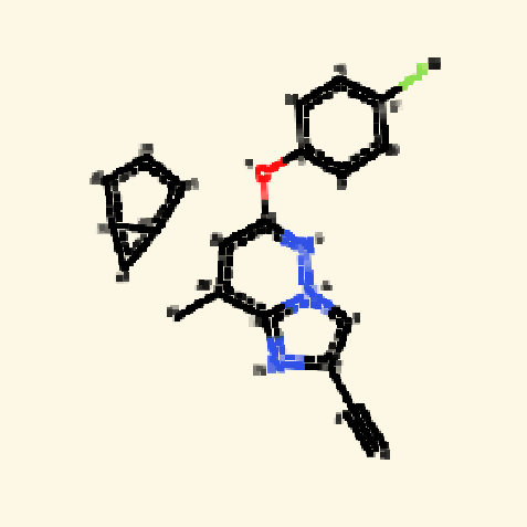 C#Cc1cn2nc(Oc3ccc(F)cc3)cc(C)c2n1.c1cc2cc-2c1